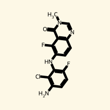 Cn1cnc2ccc(Nc3c(F)ccc(N)c3Cl)c(F)c2c1=O